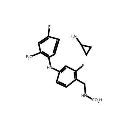 NC1CC1.O=C(O)NCc1ccc(Nc2ccc(F)cc2C(F)(F)F)cc1F